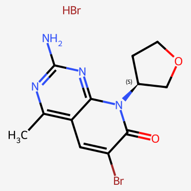 Br.Cc1nc(N)nc2c1cc(Br)c(=O)n2[C@H]1CCOC1